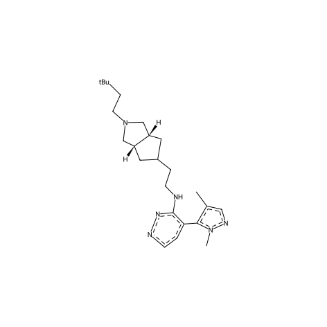 Cc1cnn(C)c1-c1ccnnc1NCCC1C[C@@H]2CN(CCC(C)(C)C)C[C@@H]2C1